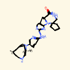 C[C@@H]1CNC[C@H]2CC1CN2c1ccc(Nc2ncc3cc4n(c3n2)C2(CCCC2)CNC4=O)nc1